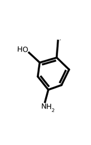 [CH2]c1ccc(N)cc1O